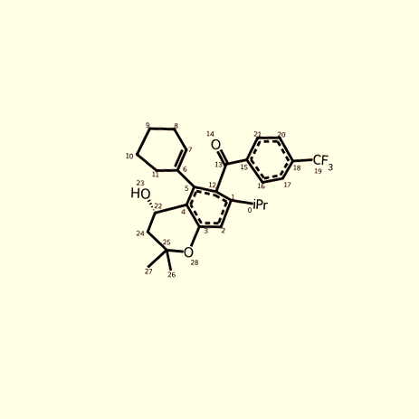 CC(C)c1cc2c(c(C3=CCCCC3)c1C(=O)c1ccc(C(F)(F)F)cc1)[C@@H](O)CC(C)(C)O2